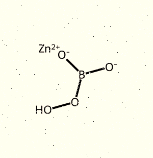 [O-]B([O-])OO.[Zn+2]